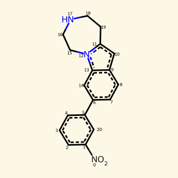 O=[N+]([O-])c1cccc(-c2ccc3cc4n(c3c2)CCNCC4)c1